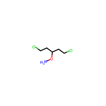 NOC(CCCl)CCCl